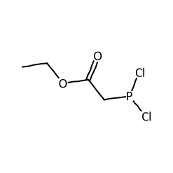 CCOC(=O)CP(Cl)Cl